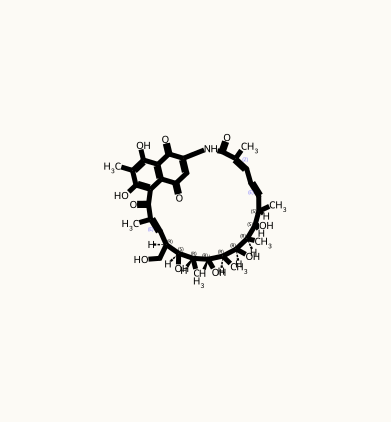 C/C1=C/C=C/[C@H](C)[C@H](O)[C@@H](C)[C@@H](O)[C@@H](C)[C@H](O)[C@H](C)[C@@H](O)[C@@H](CO)/C=C(\C)C(=O)c2c(O)c(C)c(O)c3c2C(=O)C=C(NC1=O)C3=O